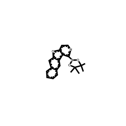 CC1(C)OB(c2nccc3oc4cc5ccccc5cc4c23)OC1(C)C